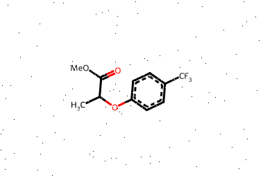 COC(=O)C(C)Oc1ccc(C(F)(F)F)cc1